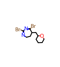 BrC1=NCCC(CC2CCCCO2)C(Br)=N1